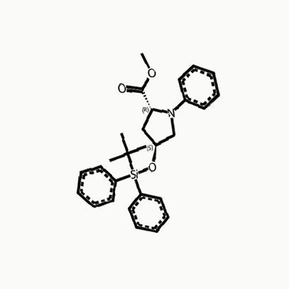 COC(=O)[C@H]1C[C@H](O[Si](c2ccccc2)(c2ccccc2)C(C)(C)C)CN1c1ccccc1